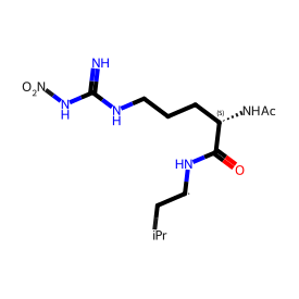 CC(=O)N[C@@H](CCCNC(=N)N[N+](=O)[O-])C(=O)N[CH]CC(C)C